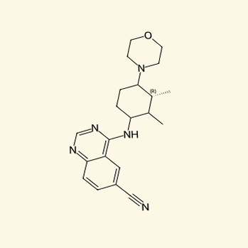 CC1C(Nc2ncnc3ccc(C#N)cc23)CCC(N2CCOCC2)[C@@H]1C